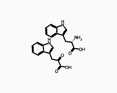 N[C@@H](Cc1c[nH]c2ccccc12)C(=O)O.O=C(O)C(=O)Cc1c[nH]c2ccccc12